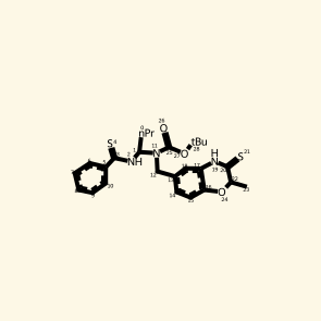 CCCC(NC(=S)c1ccccc1)N(Cc1ccc2c(c1)NC(=S)C(C)O2)C(=O)OC(C)(C)C